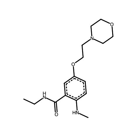 CCNC(=O)c1cc(OCCN2CCOCC2)ccc1NC